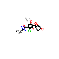 COc1cc(-c2nc(C)no2)c(Cl)c2c1C(=O)[C@@]1(CCC(=O)C=C1O)O2